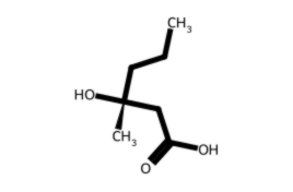 CCC[C@@](C)(O)CC(=O)O